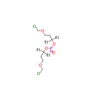 CCC(CC)(CCOCCl)O[PH](=O)OC(CC)(CC)CCOCCl